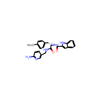 COc1ccc(C[C@H](NC(=O)c2cc3ccccc3[nH]2)C(=O)NCc2ccc(N)nc2)cc1